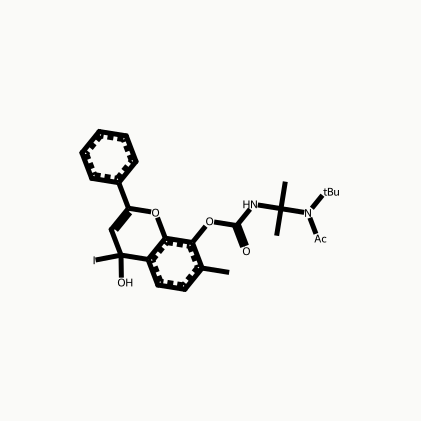 CC(=O)N(C(C)(C)C)C(C)(C)NC(=O)Oc1c(C)ccc2c1OC(c1ccccc1)=CC2(O)I